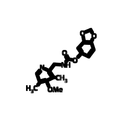 COc1c(C)cnc(CNC(=O)Oc2ccc3c(c2)OCO3)c1C